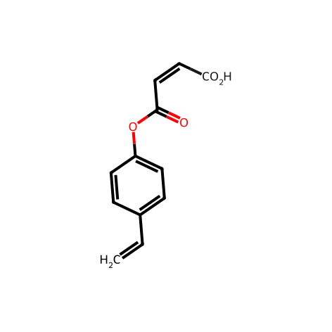 C=Cc1ccc(OC(=O)/C=C\C(=O)O)cc1